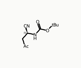 CC(=O)C[C@@H](C#N)NC(=O)OC(C)(C)C